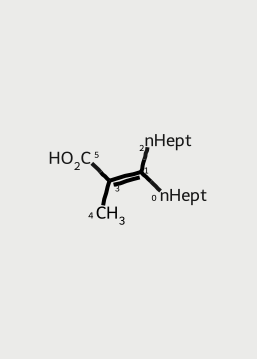 CCCCCCCC(CCCCCCC)=C(C)C(=O)O